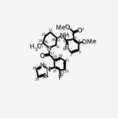 COC(=O)c1c(OC)ccnc1N[C@@H]1CC[C@@H](C)N(C(=O)c2cccc(F)c2-n2nccn2)C1